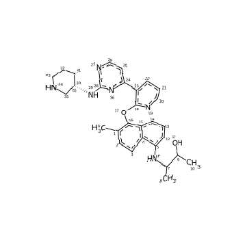 Cc1ccc2c(NC(C)C(C)O)cccc2c1Oc1ncccc1-c1ccnc(N[C@H]2CCCNC2)n1